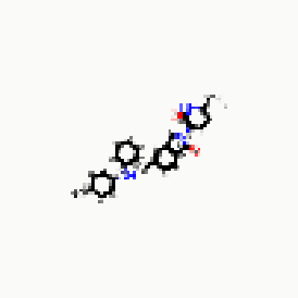 C=C1CCC(N2Cc3cc(C[C@H]4CCCC[C@@H]4N[C@H]4CC[C@H](C#N)CC4)ccc3C2=O)C(=O)N1